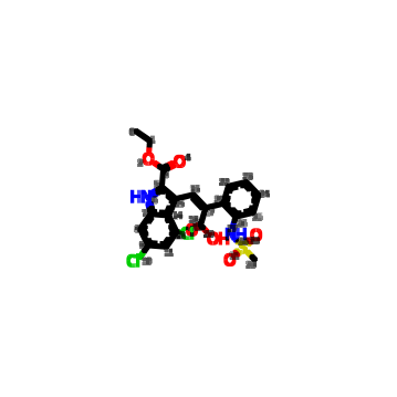 CCOC(=O)c1[nH]c2cc(Cl)cc(Cl)c2c1C=C(C(=O)O)c1ccccc1NS(C)(=O)=O